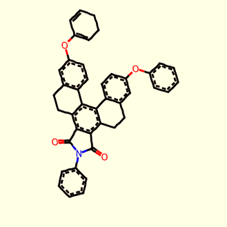 O=C1c2c3c(c4c(c2C(=O)N1c1ccccc1)CCc1cc(Oc2ccccc2)ccc1-4)-c1ccc(OC2=CCCC=C2)cc1CC3